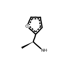 C[C@H]([NH])c1ccco1